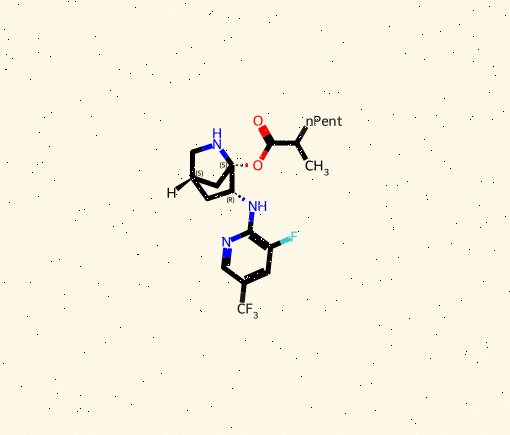 CCCCCC(C)C(=O)O[C@]12C[C@@H](CN1)C[C@H]2Nc1ncc(C(F)(F)F)cc1F